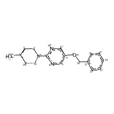 CC1CCN(c2ncc(OCc3ccccc3)cn2)CC1